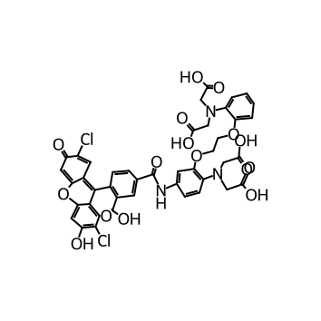 O=C(O)CN(CC(=O)O)c1ccccc1OCCOc1cc(NC(=O)c2ccc(-c3c4cc(Cl)c(=O)cc-4oc4cc(O)c(Cl)cc34)c(C(=O)O)c2)ccc1N(CC(=O)O)CC(=O)O